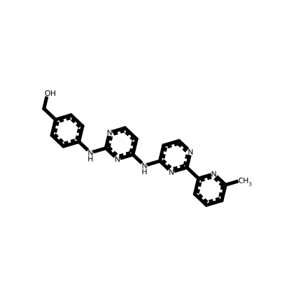 Cc1cccc(-c2nccc(Nc3ccnc(Nc4ccc(CO)cc4)n3)n2)n1